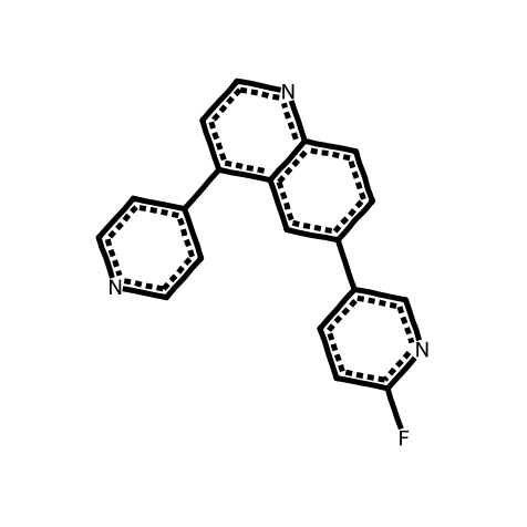 Fc1ccc(-c2ccc3nccc(-c4ccncc4)c3c2)cn1